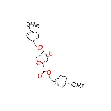 COc1ccc(COC(=O)c2cc(=O)c(OCc3ccc(OC)cc3)co2)cc1